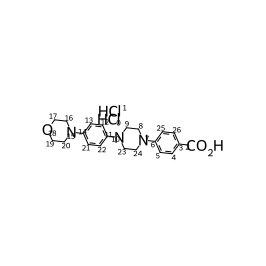 Cl.Cl.O=C(O)c1ccc(N2CCN(c3ccc(N4CCOCC4)cc3)CC2)cc1